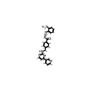 Nc1ccccc1N=[N+]=NC(=O)c1ccc(CNc2nccc(-c3cccnc3)n2)cc1